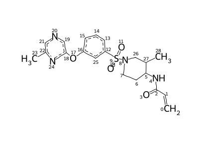 C=CC(=O)NC1CCN(S(=O)(=O)c2cccc(Oc3cncc(C)n3)c2)CC1C